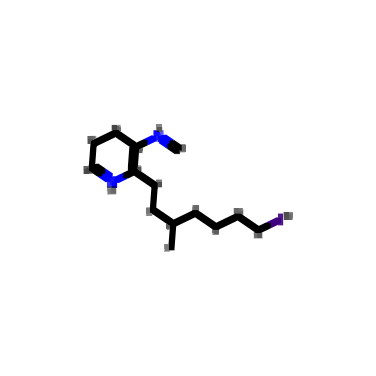 C=NC1=C(CCC(C)CCCCI)N=CCC1